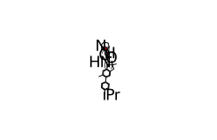 Cc1cc2c(cc1-c1ccc(C(C)C)cc1)CC(C)(C)[C@H]2NC(=O)O[C@H]1CN2CCC1CC2